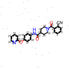 N#Cc1ccccc1C(=O)N1CCC(C(=O)Nc2ccc(Oc3ccccn3)cc2)CC1